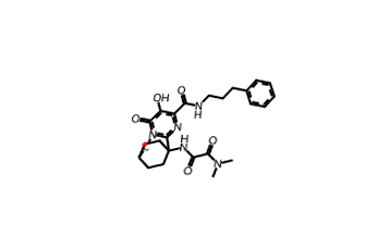 CN(C)C(=O)C(=O)NC12CCC(CC1)Cn1c2nc(C(=O)NCCCc2ccccc2)c(O)c1=O